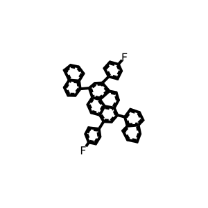 Fc1ccc(-c2cc(-c3cccc4ccccc34)c3ccc4c(-c5ccc(F)cc5)cc(-c5cccc6ccccc56)c5ccc2c3c45)cc1